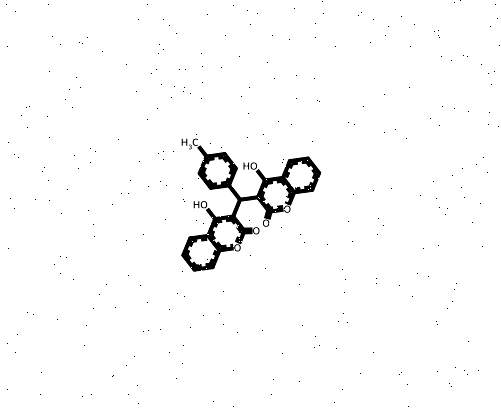 Cc1ccc(C(c2c(O)c3ccccc3oc2=O)c2c(O)c3ccccc3oc2=O)cc1